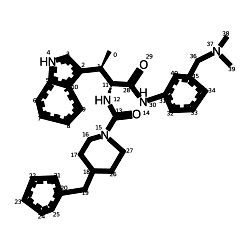 C[C@H](c1c[nH]c2ccccc12)[C@@H](NC(=O)N1CCC(Cc2ccccc2)CC1)C(=O)Nc1cccc(CN(C)C)c1